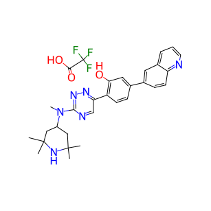 CN(c1ncc(-c2ccc(-c3ccc4ncccc4c3)cc2O)nn1)C1CC(C)(C)NC(C)(C)C1.O=C(O)C(F)(F)F